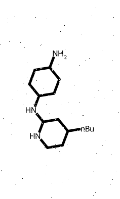 CCCCC1C[CH]NC(NC2CCC(N)CC2)C1